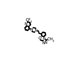 Cc1nnc2n1-c1cccc(CCN3CCN(c4cccc5nc(C(F)(F)F)ccc45)CC3)c1OC2